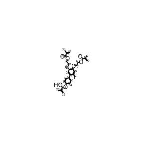 C=C(C)C(=O)OCCOc1cc(F)c(-c2ccc(OC(O)C(=C)C)cc2)cc1OCCOC(=O)C(=C)C